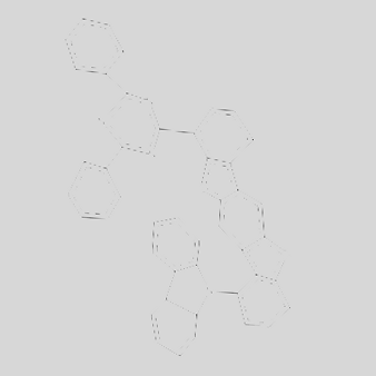 C1=CC2c3ccccc3N(c3cccc4sc5cc6c(cc5c34)sc3c(-c4nc(-c5ccccc5)nc(-c5ccccc5)n4)cccc36)C2C=C1